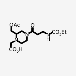 CCOC(=O)NCCC(=O)N1CCN(CC(=O)O)C(COC(C)=O)C1